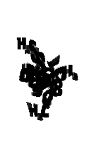 CCOC(=O)c1c2n(c3c(NC(C)=O)c(N4CCN(C)CC4)c(F)c(C)c3c1=O)CS2